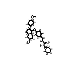 COc1ccc(-c2ccc3cc(OC)ccc3c2Oc2ccc(CCC(=O)NN3CCCCC3)cc2)cc1